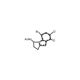 CC(=O)NC1CCc2cc3c(Cl)c(Cl)cc(Br)c3n21